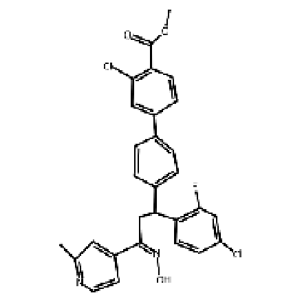 COC(=O)c1ccc(-c2ccc(C(C/C(=N/O)c3ccnc(C)c3)c3ccc(Cl)cc3F)cc2)cc1Cl